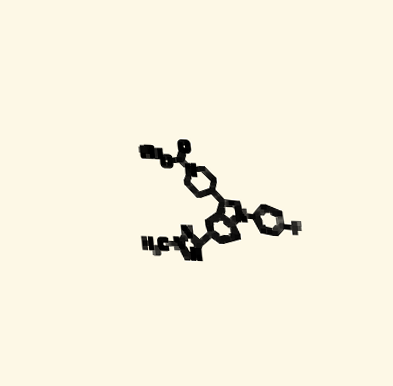 Cn1cnc(-c2ccc3c(c2)c(C2CCN(C(=O)OC(C)(C)C)CC2)cn3-c2ccc(F)cc2)n1